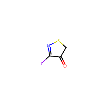 O=C1CSN=C1I